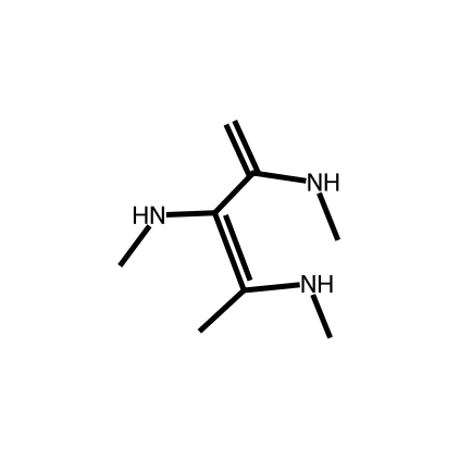 C=C(NC)C(NC)=C(C)NC